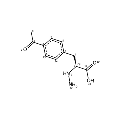 CC(=O)c1ccc(C[C@H](NN)C(=O)O)cc1